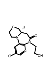 O=C1C[C@@H]2COCCN2c2cc(Cl)cnc2N1CCO